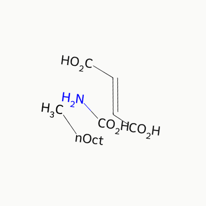 CCCCCCCCC.NC(=O)O.O=C(O)C=CC(=O)O